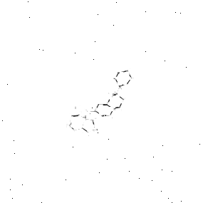 CCCN(c1ccc2ccc(-c3ccccc3)nc2c1)[N+]12C=CN=CC1=CN=C2